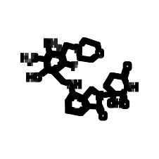 Bc1c(B)c(CN2CCOCC2)c(F)c(CNc2cccc3c2CN(C2(O)CCC(=O)NC2=O)C3=O)c1O